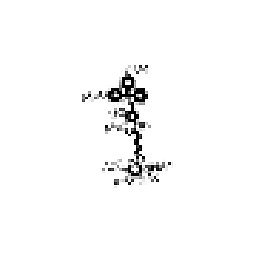 COc1ccc(C(OC[C@H]2C[C@@H](NC(=O)CCCCO[C@H]3O[C@@H](COC(C)=O)[C@@H](OC(C)=O)[C@@H](OC(C)=O)[C@@H]3NC(C)=O)[C@H](OC)[C@@H]2O)(c2ccccc2)c2ccc(OC)cc2)cc1